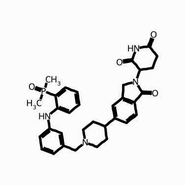 CP(C)(=O)c1ccccc1Nc1cccc(CN2CCC(c3ccc4c(c3)CN(C3CCC(=O)NC3=O)C4=O)CC2)c1